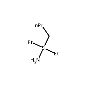 CCCC[Si](N)(CC)CC